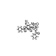 COC1C2O[C@]2(CSC(=O)c2ccccc2)O[C@H]1n1cc(C)c(OC(=O)c2ccccc2)nc1=O